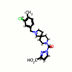 Cc1ccc(CN2CCC3(CCN(C(=O)n4ccc(C(=O)O)n4)CC3)C2)cc1Cl